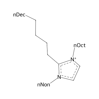 CCCCCCCCCCCCCCc1n(CCCCCCCCC)cc[n+]1CCCCCCCC